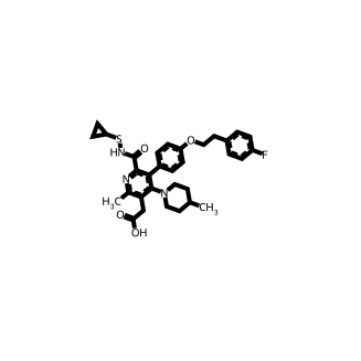 Cc1nc(C(=O)NSC2CC2)c(-c2ccc(OCCc3ccc(F)cc3)cc2)c(N2CCC(C)CC2)c1CC(=O)O